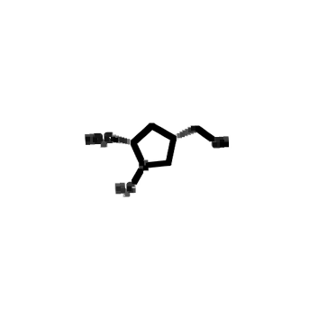 CN1C[C@@H](CO)C[C@H]1C(=O)O